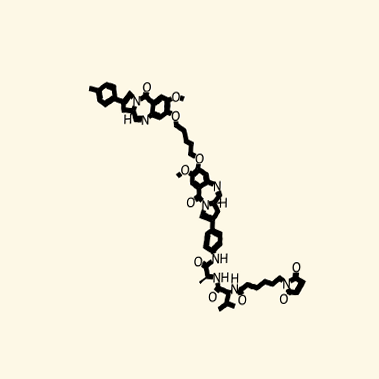 COc1cc2c(cc1OCCCCCOc1cc3c(cc1OC)C(=O)N1C=C(c4ccc(NC(=O)[C@H](C)NC(=O)[C@@H](NC(=O)CCCCCN5C(=O)C=CC5=O)C(C)C)cc4)C[C@@H]1C=N3)N=C[C@H]1CC(c3ccc(C)cc3)=CN1C2=O